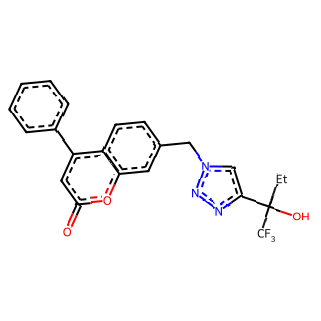 CCC(O)(c1cn(Cc2ccc3c(-c4ccccc4)cc(=O)oc3c2)nn1)C(F)(F)F